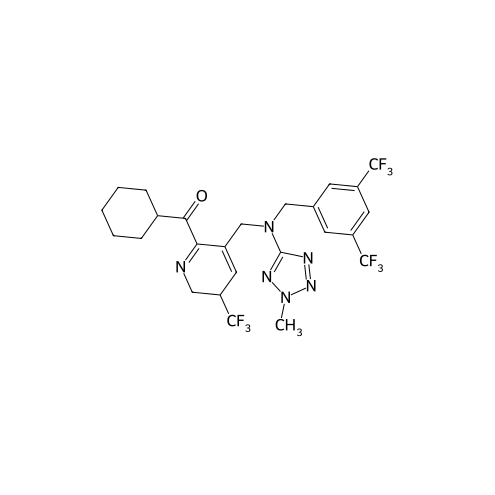 Cn1nnc(N(CC2=CC(C(F)(F)F)CN=C2C(=O)C2CCCCC2)Cc2cc(C(F)(F)F)cc(C(F)(F)F)c2)n1